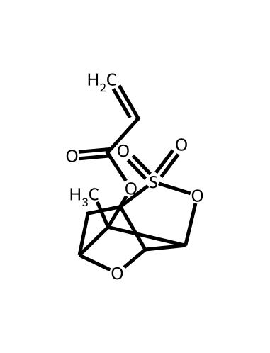 C=CC(=O)OC1(C)C2CC3C(O2)C1OS3(=O)=O